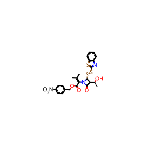 CC(C)=C(C(=O)OCc1ccc([N+](=O)[O-])cc1)N1C(=O)C([C@H](C)O)C1SSc1nc2ccccc2s1